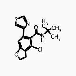 CC(C)(C)NC(=O)c1c(-c2cscn2)cc2c(c1Cl)CCO2